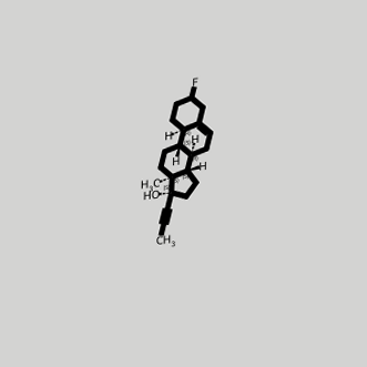 CC#C[C@]1(O)CC[C@H]2[C@@H]3CC=C4CC(F)CC[C@@H]4[C@H]3CC[C@@]21C